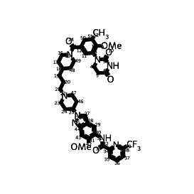 COC1=C(N2CCC(=O)NC2=O)C=C(C(=O)N2CCC(CCCN3CCC(n4cc5cc(NC(=O)c6cccc(C(F)(F)F)n6)c(OC)cc5n4)CC3)CC2)CC1C